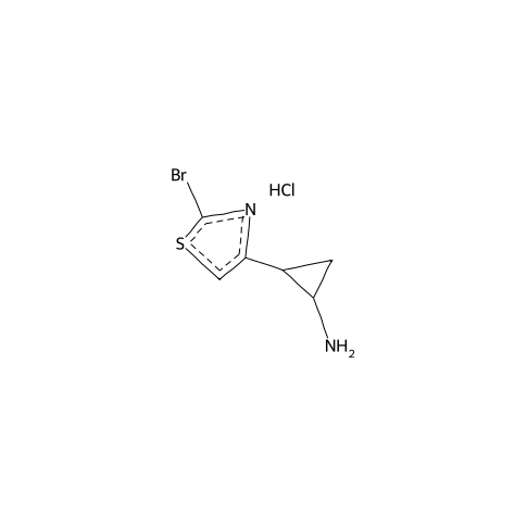 Cl.NC1CC1c1csc(Br)n1